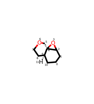 C1CC2O[C@@]23COCC[C@@H]3C1